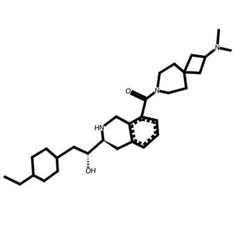 CCC1CCC(C[C@@H](O)[C@@H]2Cc3cccc(C(=O)N4CCC5(CC4)CC(N(C)C)C5)c3CN2)CC1